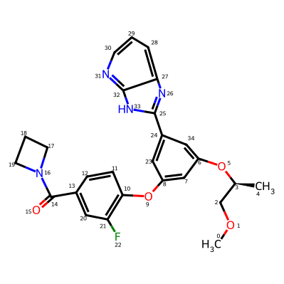 COC[C@H](C)Oc1cc(Oc2ccc(C(=O)N3CCC3)cc2F)cc(-c2nc3cccnc3[nH]2)c1